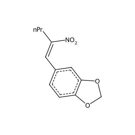 CCCC(=Cc1ccc2c(c1)OCO2)[N+](=O)[O-]